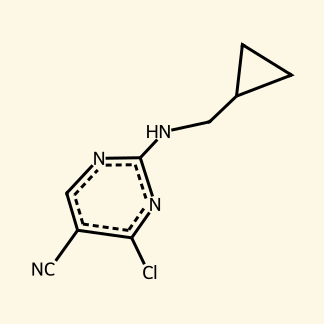 N#Cc1cnc(NCC2CC2)nc1Cl